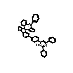 C1=C(c2ccccc2)N=C(c2ccccc2)NC1c1ccc(-c2ccc3c(c2)C2(c4ccccc4N(c4ccccc4)c4ccccc42)c2cccnc2-3)cc1